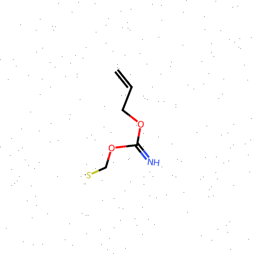 C=CCOC(=N)OC[S]